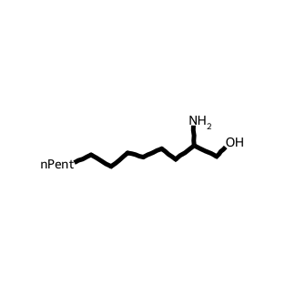 CCCCCCCCCCCC(N)CO